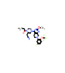 C=CC(=O)N1CCN(c2nc(OC)nc3c2CCN(c2cc(F)ccc2OC(F)(F)F)C3)CC1CC#N